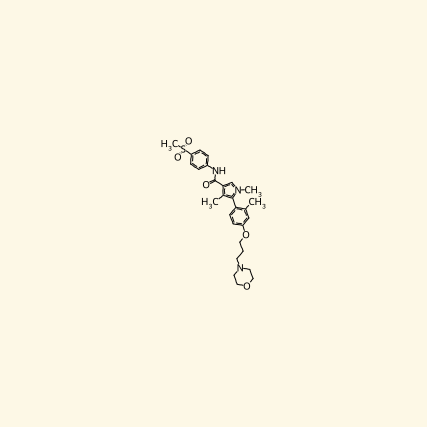 Cc1cc(OCCCN2CCOCC2)ccc1-c1c(C)c(C(=O)Nc2ccc(S(C)(=O)=O)cc2)cn1C